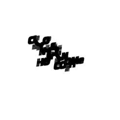 CON=C(C(=O)O)c1csc(=NC(=O)CCl)n1O